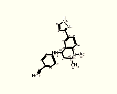 C#Cc1ccc(N[C@@H]2C[C@H](C)N(C(C)=O)c3ccc(-c4cc[nH]n4)cc32)cc1